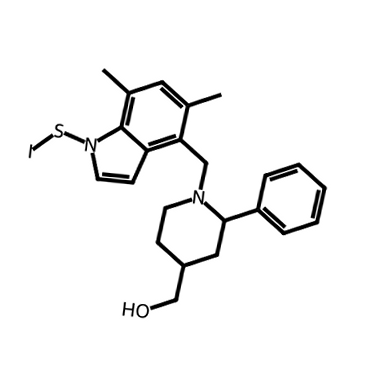 Cc1cc(C)c2c(ccn2SI)c1CN1CCC(CO)CC1c1ccccc1